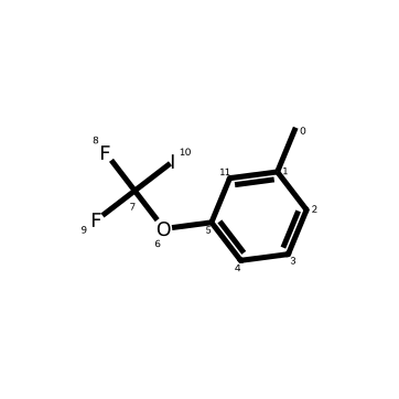 Cc1cccc(OC(F)(F)I)c1